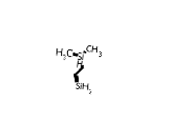 C[SiH](C)CC=[SiH2]